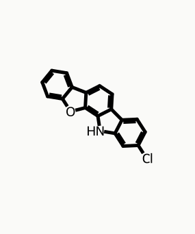 Clc1ccc2c(c1)[nH]c1c2ccc2c3ccccc3oc21